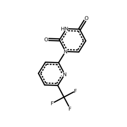 O=c1ccn(-c2cccc(C(F)(F)F)n2)c(=O)[nH]1